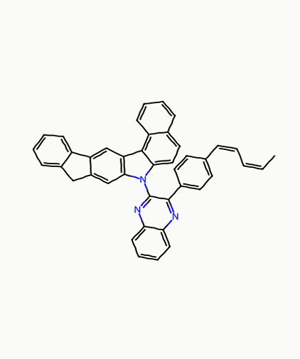 C/C=C\C=C/c1ccc(-c2nc3ccccc3nc2-n2c3cc4c(cc3c3c5ccccc5ccc32)-c2ccccc2C4)cc1